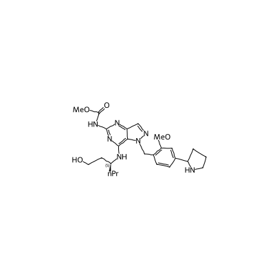 CCC[C@@H](CCO)Nc1nc(NC(=O)OC)nc2cnn(Cc3ccc(C4CCCN4)cc3OC)c12